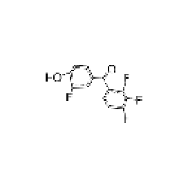 O=C(c1ccc(O)c(F)c1)c1ccc(F)c(F)c1F